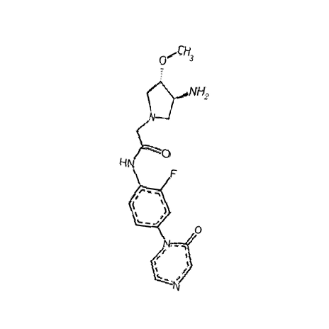 CO[C@H]1CN(CC(=O)Nc2ccc(-n3ccncc3=O)cc2F)C[C@@H]1N